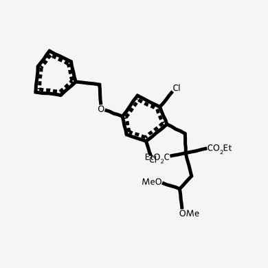 CCOC(=O)C(Cc1c(Cl)cc(OCc2ccccc2)cc1Cl)(CC(OC)OC)C(=O)OCC